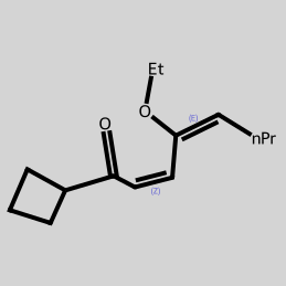 CCC/C=C(\C=C/C(=O)C1CCC1)OCC